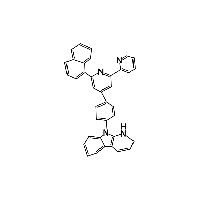 C1=Cc2c(n(-c3ccc(-c4cc(-c5ccccn5)nc(-c5cccc6ccccc56)c4)cc3)c3ccccc23)NC1